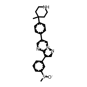 C[S+]([O-])c1cccc(-c2cnn3cc(-c4ccc(C5(C)CCNCC5)cc4)cnc23)c1